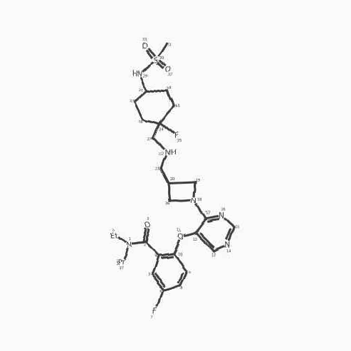 CCN(C(=O)c1cc(F)ccc1Oc1cncnc1N1CC(CNCC2(F)CCC(NS(C)(=O)=O)CC2)C1)C(C)C